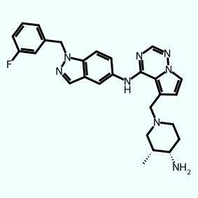 C[C@@H]1CN(Cc2ccn3ncnc(Nc4ccc5c(cnn5Cc5cccc(F)c5)c4)c23)CC[C@@H]1N